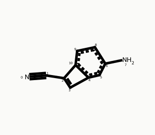 N#CC1=Cc2cc(N)ccc21